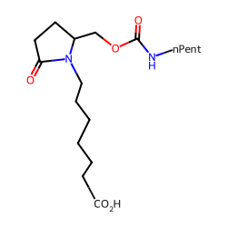 CCCCCNC(=O)OCC1CCC(=O)N1CCCCCCC(=O)O